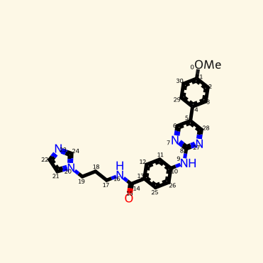 COc1ccc(-c2cnc(Nc3ccc(C(=O)NCCCn4ccnc4)cc3)nc2)cc1